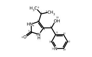 CC(C)c1[nH]c(=O)[nH]c1C(O)c1cccnc1